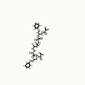 C=C(C)C(=O)OCC(COc1ccccc1)OC(=O)NCCC(C)CC(C)(C)CNC(=O)OC(COC(=O)C(=C)C)COc1ccccc1